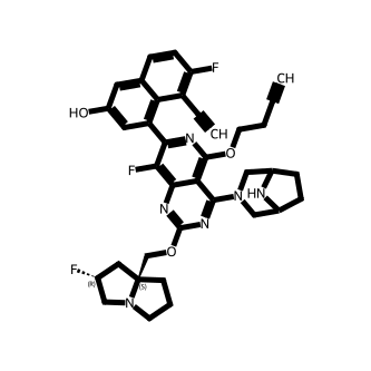 C#CCCOc1nc(-c2cc(O)cc3ccc(F)c(C#C)c23)c(F)c2nc(OC[C@@]34CCCN3C[C@H](F)C4)nc(N3CC4CCC(C3)N4)c12